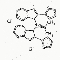 C[Si](C)=[Zr+2]([CH]1C(c2cccs2)=Cc2ccccc21)[CH]1C(c2cccs2)=Cc2ccccc21.[Cl-].[Cl-]